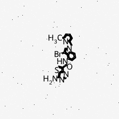 Cc1cccc(Cn2cc(Br)c3c(NC(=O)c4csc5c(N)ncnc45)cccc32)n1